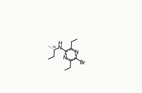 CCc1nc(N[C@@H](C)CC)c(CC)nc1Br